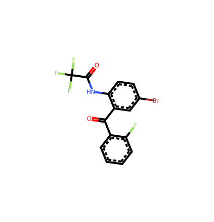 O=C(c1ccccc1F)c1cc(Br)ccc1NC(=O)C(F)(F)F